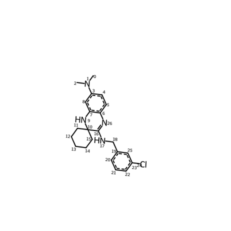 CN(C)c1ccc2c(c1)NC1(CCCCC1)C(NCc1cccc(Cl)c1)=N2